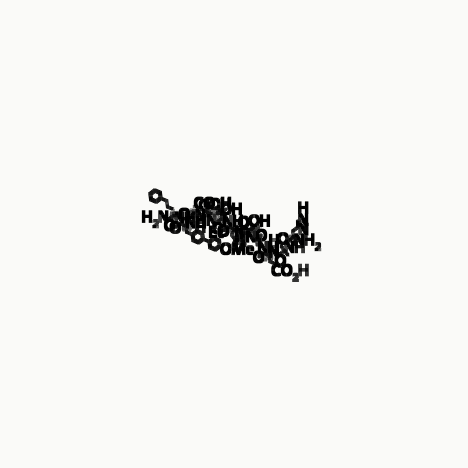 CCc1cc(OC)ccc1-c1ccc(C[C@H](NC(=O)[C@H](CC(=O)O)NC(=O)[C@H](CO)NC(=O)[C@@H](NC(=O)[C@](C)(Cc2ccccc2F)NC(=O)[C@@H](NC(=O)CNC(=O)[C@H](CCC(=O)O)NC(=O)C(C)(C)NC(=O)[C@@H](N)Cc2c[nH]cn2)[C@@H](C)O)[C@@H](C)O)C(=O)N[C@@H](CCCc2ccccc2)C(N)=O)cc1